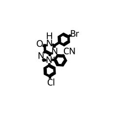 N#Cc1cccc([N+]2(c3ccc(Cl)cc3)C=Nc3c2nc(-c2ccc(Br)cc2)[nH]c3=O)c1